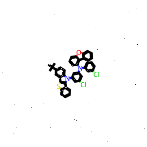 CC(C)(C)c1ccc2c(c1)c1sc3ccccc3c1n2-c1cc(Cl)cc(N(c2cccc(Cl)c2)c2cccc3oc4ccccc4c23)c1